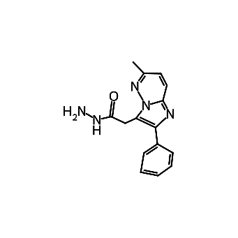 Cc1ccc2nc(-c3ccccc3)c(CC(=O)NN)n2n1